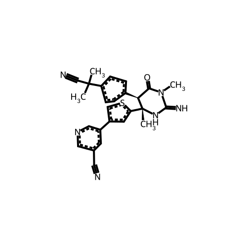 CN1C(=N)N[C@](C)(c2cc(-c3cncc(C#N)c3)cs2)[C@@H](c2ccc(C(C)(C)C#N)cc2)C1=O